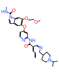 C=C/C=C(\C=N/CC1CCN(C(C)C)CC1)C(=O)Nc1cc(Oc2cc3ccn(C(=O)NC)c3cc2OCCOC)ccn1